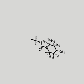 [2H]C1([2H])C(O)C([2H])([2H])C([2H])(C)N(C(=O)OC(C)(C)C)C1([2H])[2H]